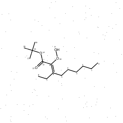 CCCCCCC(CC)=C(OO)C(=O)OC(C)(C)C